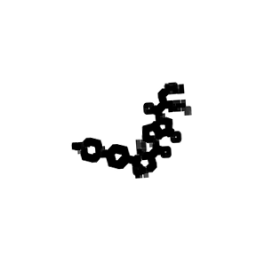 CC(C)CC(NC(=O)c1ccc(N2CCN(C)CC2)cc1)C(=O)N1CCC2C1C(=O)CN2C(=O)C(N)CC(C)(C)C